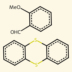 COc1ccccc1C=O.c1ccc2c(c1)Sc1ccccc1S2